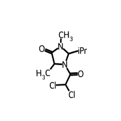 CC(C)C1N(C)C(=O)C(C)N1C(=O)C(Cl)Cl